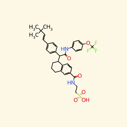 CC(C)(C)/C=C/c1ccc(C(C(=O)Nc2ccc(OC(F)(F)F)cc2)C2CCCc3cc(C(=O)NCCS(=O)(=O)O)ccc32)cc1